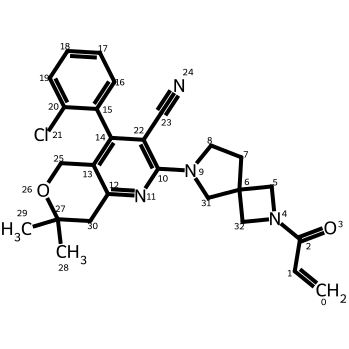 C=CC(=O)N1CC2(CCN(c3nc4c(c(-c5ccccc5Cl)c3C#N)COC(C)(C)C4)C2)C1